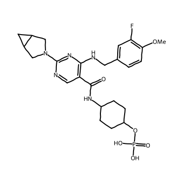 COc1ccc(CNc2nc(N3CC4CC4C3)ncc2C(=O)NC2CCC(OP(=O)(O)O)CC2)cc1F